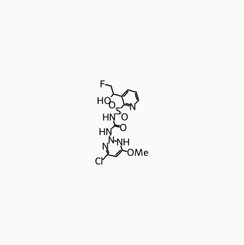 COC1=CC(Cl)=NN(NC(=O)NS(=O)(=O)c2ncccc2C(O)CF)N1